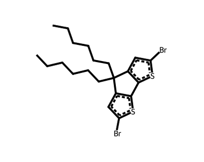 CCCCCCC1(CCCCCC)c2cc(Br)sc2-c2sc(Br)cc21